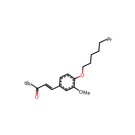 COc1cc(C=CC(=O)C(C)(C)C)ccc1OCCCCCC(C)C